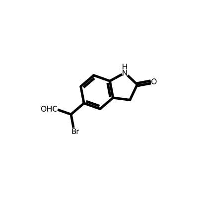 O=CC(Br)c1ccc2c(c1)CC(=O)N2